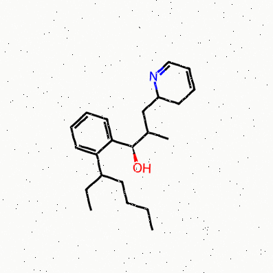 CCCCC(CC)c1ccccc1[C@H](O)C(C)CC1CC=CC=N1